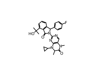 CC1C(=O)N(C)c2cnc(N3C(=O)c4c(cccc4C(C)(C)O)C3c3ccc(F)cc3)nc2N1C1CC1